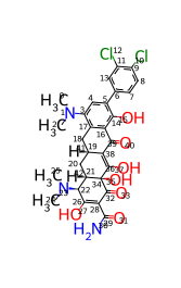 CN(C)c1cc(-c2ccc(Cl)c(Cl)c2)c(O)c2c1C[C@H]1C[C@H]3[C@H](N(C)C)C(O)=C(C(N)=O)C(=O)[C@@]3(O)C(O)=C1C2=O